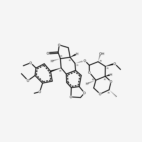 COc1cc([C@@H]2c3cc4c(cc3[C@@H](OC3O[C@@H]5CO[C@@H](C)O[C@H]5[C@H](OC)[C@H]3O)[C@H]3COC(=O)[C@H]23)OCO4)cc(OC)c1OC